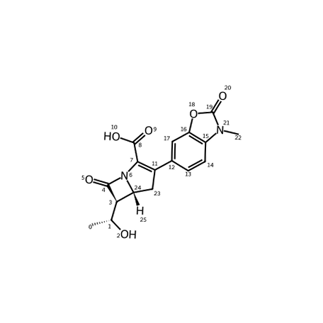 C[C@@H](O)[C@H]1C(=O)N2C(C(=O)O)=C(c3ccc4c(c3)oc(=O)n4C)C[C@H]12